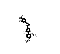 COc1ccc(-c2ccc(-c3nc(-c4ccc(C(=O)O)c(F)c4)no3)cc2C)c(OC)c1